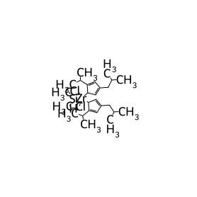 CC(C)CC1=C[CH]([Zr]([Cl])([Cl])([CH]2C=C(CC(C)C)C=C2C(C)C)[SiH](C)C)C(C(C)C)=C1